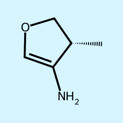 C[C@H]1COC=C1N